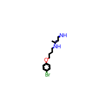 C/C(=C\C=N)NCCCCOc1ccc(Br)cc1